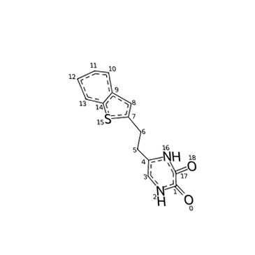 O=c1[nH]cc(CCc2cc3ccccc3s2)[nH]c1=O